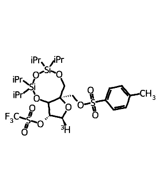 [3H][C@@H]1O[C@]2(COS(=O)(=O)c3ccc(C)cc3)CO[Si](C(C)C)(C(C)C)O[Si](C(C)C)(C(C)C)OC2[C@H]1OS(=O)(=O)C(F)(F)F